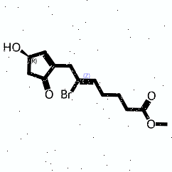 COC(=O)CCC/C=C(\Br)CC1=C[C@H](O)CC1=O